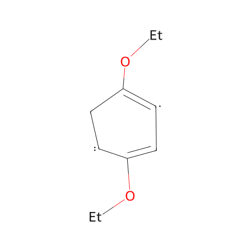 CCOC1=[C]C=C(OCC)[C]C1